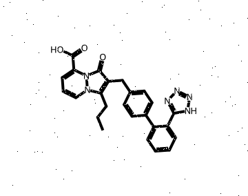 CCCc1c(Cc2ccc(-c3ccccc3-c3nnn[nH]3)cc2)c(=O)n2c(C(=O)O)cccn12